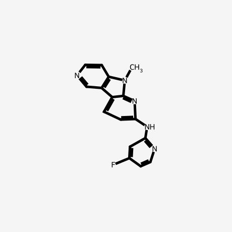 Cn1c2ccncc2c2ccc(Nc3cc(F)ccn3)nc21